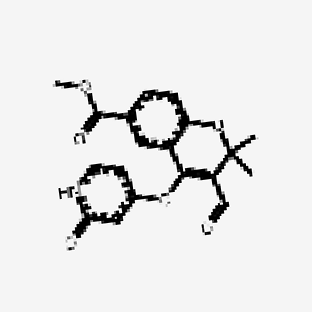 COC(=O)c1ccc2c(c1)C(Oc1cc[nH]c(=O)c1)=C(C=O)C(C)(C)O2